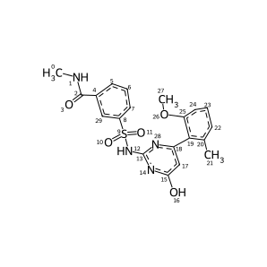 CNC(=O)c1cccc(S(=O)(=O)Nc2nc(O)cc(-c3c(C)cccc3OC)n2)c1